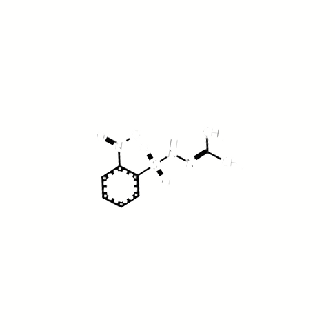 CC(C)=NNS(=O)(=O)c1ccccc1[N+](=O)[O-]